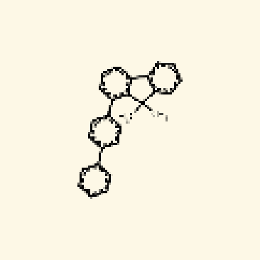 CC1(C)c2ccccc2-c2[c]ccc(-c3ccc(-c4ccccc4)cc3)c21